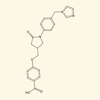 O=C(O)c1ccc(OCC2CC(=O)N(c3ccc(Cn4ccnc4)cc3)C2)cc1